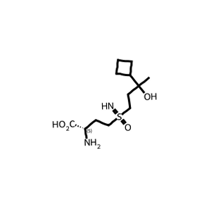 CC(O)(CCS(=N)(=O)CC[C@H](N)C(=O)O)C1CCC1